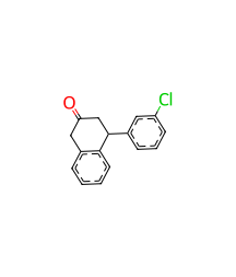 O=C1Cc2ccccc2C(c2cccc(Cl)c2)C1